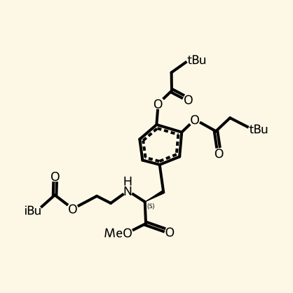 CCC(C)C(=O)OCCN[C@@H](Cc1ccc(OC(=O)CC(C)(C)C)c(OC(=O)CC(C)(C)C)c1)C(=O)OC